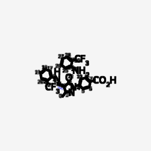 CC1=NN(c2ccc(C(=O)O)cc2)C(=O)/C1=C\Nc1ccccc1C(F)(F)F.Nc1ccccc1C(F)(F)F